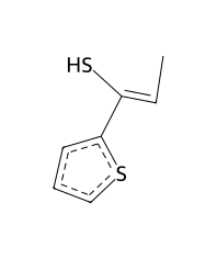 C/C=C(\S)c1cccs1